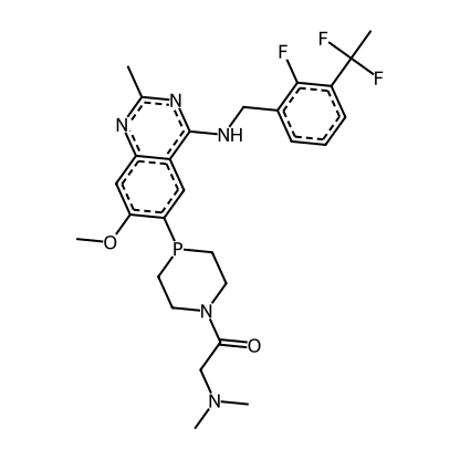 COc1cc2nc(C)nc(NCc3cccc(C(C)(F)F)c3F)c2cc1P1CCN(C(=O)CN(C)C)CC1